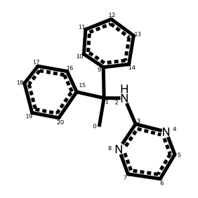 CC(Nc1ncccn1)(c1ccccc1)c1ccccc1